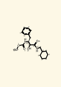 CC(C)(C)OC(=O)N[C@@H](Cc1ccccc1)C(O)C(=O)NCC1CCCCC1